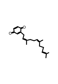 CC(C)=CCCC(C)=CCCC(C)=CCC1=CC(=O)C=CC1=O